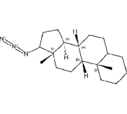 C[C@]12CCCCC1CC[C@@H]1[C@H]2CC[C@]2(C)C(N=[N+]=[N-])CC[C@@H]12